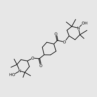 CC1(C)CC(OC(=O)C2CCC(C(=O)OC3CC(C)(C)N(O)C(C)(C)C3)CC2)CC(C)(C)N1O